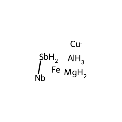 [AlH3].[Cu].[Fe].[MgH2].[Nb][SbH2]